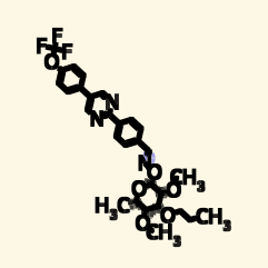 CCCO[C@@H]1[C@@H](OC)[C@H](C)O[C@@H](O/N=C/c2ccc(-c3ncc(-c4ccc(OC(F)(F)F)cc4)cn3)cc2)[C@@H]1OC